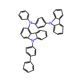 c1ccc(-c2ccc(-n3c4ccccc4c4c(N(c5ccccc5)c5ccc(-n6c7ccccc7c7ccccc76)cc5)cccc43)cc2)cc1